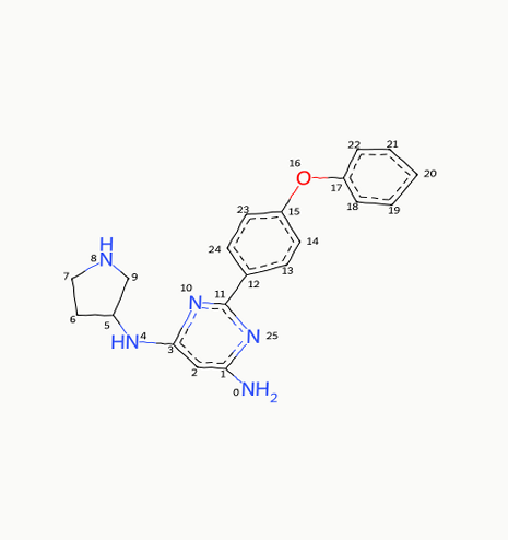 Nc1cc(NC2CCNC2)nc(-c2ccc(Oc3ccccc3)cc2)n1